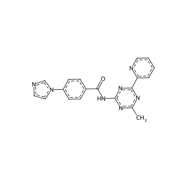 Cc1nc(NC(=O)c2ccc(-n3ccnc3)cc2)nc(-c2ccccn2)n1